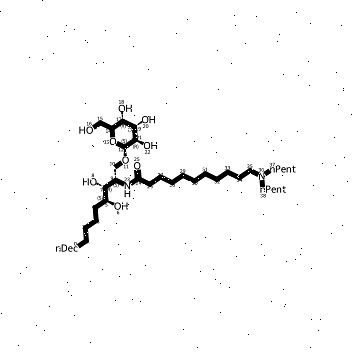 CCCCCCCCCCCCCC[C@H](O)[C@H](O)[C@H](CO[C@H]1OC(CO)[C@H](O)[C@H](O)[C@H]1O)NC(=O)CCCCCCCCCCN(CCCCC)CCCCC